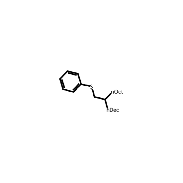 CCCCCCCCCCC(CCCCCCCC)CSc1ccccc1